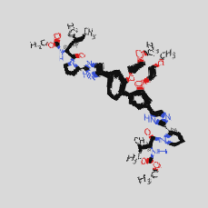 CC[C@H](C)[C@H](NC(=O)OC)C(=O)N1CCC[C@H]1c1ncc(-c2ccc(-c3ccc(-c4cnc([C@@H]5CCCN5C(=O)[C@@H](NC(=O)OC)C(C)C)[nH]4)cc3OCCOC)c(OCCOC)c2)[nH]1